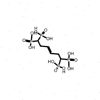 O=P(O)(O)C(CC=CCC(P(=O)(O)O)P(=O)(O)O)P(=O)(O)O